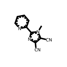 Cn1c(-c2ccccn2)nc(C#N)c1C#N